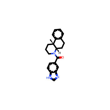 C[C@]12CCCN(C(=O)c3ccc4[nH]cnc4c3)[C@H]1CCc1ccccc12